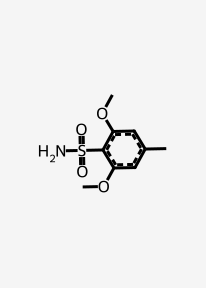 COc1cc(C)cc(OC)c1S(N)(=O)=O